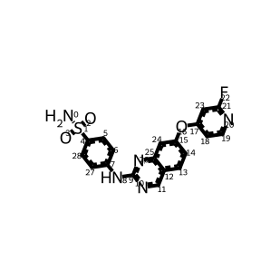 NS(=O)(=O)c1ccc(Nc2ncc3ccc(Oc4ccnc(F)c4)cc3n2)cc1